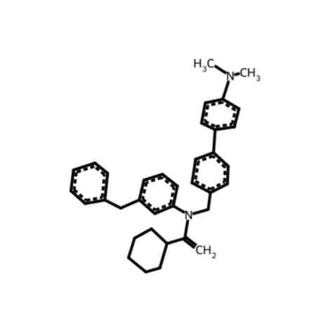 C=C(C1CCCCC1)N(Cc1ccc(-c2ccc(N(C)C)cc2)cc1)c1cccc(Cc2ccccc2)c1